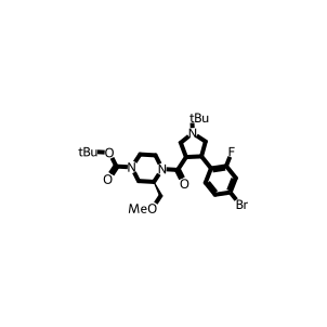 COC[C@H]1CN(C(=O)OC(C)(C)C)CCN1C(=O)C1CN(C(C)(C)C)CC1c1ccc(Br)cc1F